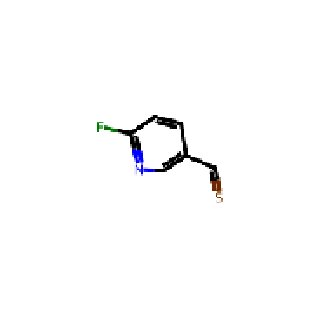 Fc1ccc(C=S)cn1